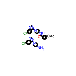 CC(=O)Oc1cccc(C(=O)NC2CCN(c3ncnc4cc(Cl)ccc34)CC2)c1.NC1CCN(c2ncnc3cc(Cl)ccc23)CC1